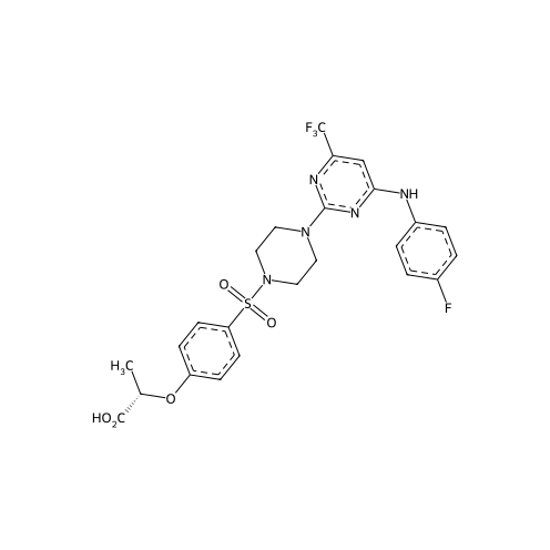 C[C@H](Oc1ccc(S(=O)(=O)N2CCN(c3nc(Nc4ccc(F)cc4)cc(C(F)(F)F)n3)CC2)cc1)C(=O)O